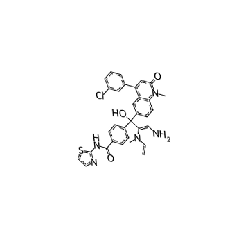 C=CN(C)/C(=C\N)C(O)(c1ccc(C(=O)Nc2nccs2)cc1)c1ccc2c(c1)c(-c1cccc(Cl)c1)cc(=O)n2C